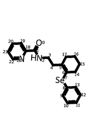 O=C(NCCC1=C([Se]c2ccccc2)CCCC1)c1ccccn1